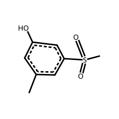 Cc1cc(O)cc(S(C)(=O)=O)c1